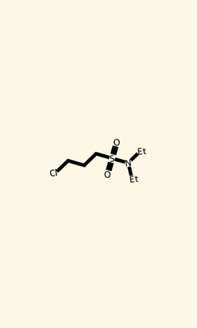 CCN(CC)S(=O)(=O)CCCCl